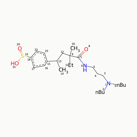 CCCCN(CCCC)CCCNC(=O)C(C)(CC)CC(C)c1ccc(S(=O)O)cc1